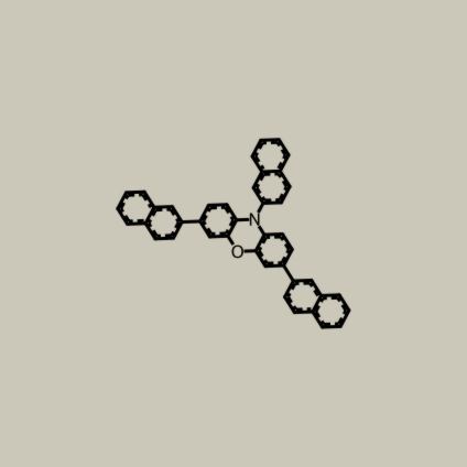 c1ccc2cc(-c3ccc4c(c3)Oc3cc(-c5ccc6ccccc6c5)ccc3N4c3ccc4ccccc4c3)ccc2c1